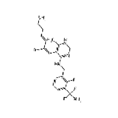 CCC/C=C/C(Br)=C\C1=C(C)NCN=C1NCc1cccc(C(N)(F)F)c1F